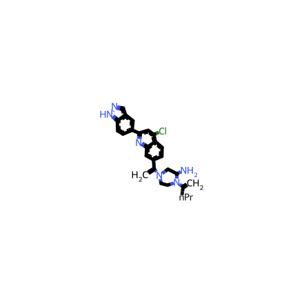 C=C(c1ccc2c(Cl)cc(-c3ccc4[nH]ncc4c3)nc2c1)N1CCN(C(=C)CCC)C(N)C1